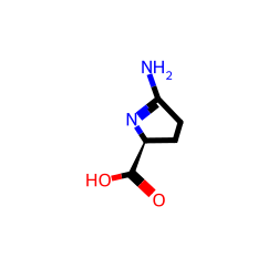 NC1=N[C@H](C(=O)O)CC1